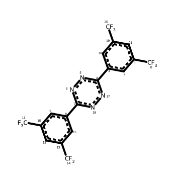 FC(F)(F)c1cc(-c2nnc(-c3cc(C(F)(F)F)cc(C(F)(F)F)c3)nn2)cc(C(F)(F)F)c1